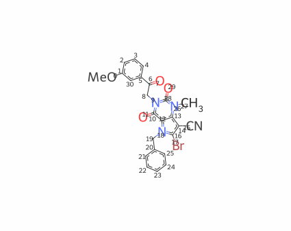 COc1cccc(C(=O)Cn2c(=O)c3c(c(C#N)c(Br)n3Cc3ccccc3)n(C)c2=O)c1